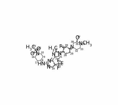 Cc1nc(-c2nc(NC3CCN(S(C)(=O)=O)CC3)ncc2C(F)(F)F)cn1-c1ccc(N2CCN(C)C(=O)C2)cc1F